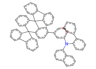 c1ccc(-c2ccccc2N(c2cccc(-c3ccc4c(c3)C3(c5ccccc5-c5ccccc53)c3ccccc3C43c4ccccc4-c4ccccc43)c2)c2cccc3ccccc23)cc1